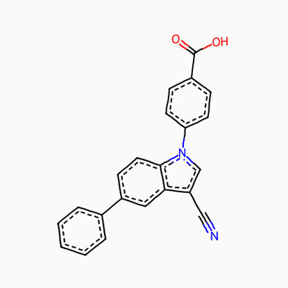 N#Cc1cn(-c2ccc(C(=O)O)cc2)c2ccc(-c3ccccc3)cc12